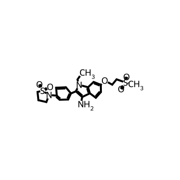 CCn1c(-c2ccc(N3CCCS3(=O)=O)cc2)c(N)c2ccc(OCCS(C)(=O)=O)cc21